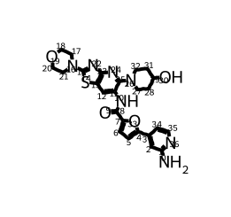 Nc1cc(-c2ccc(C(=O)Nc3cc4sc(N5CCOCC5)nc4nc3N3CCC(O)CC3)o2)ccn1